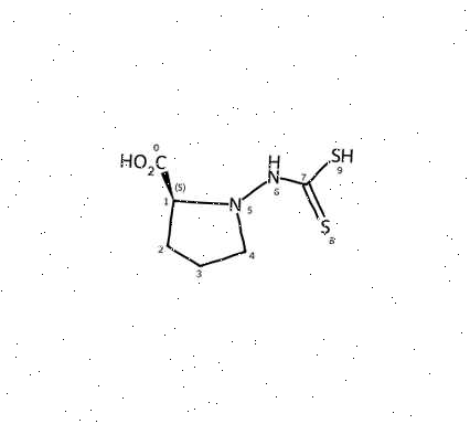 O=C(O)[C@@H]1CCCN1NC(=S)S